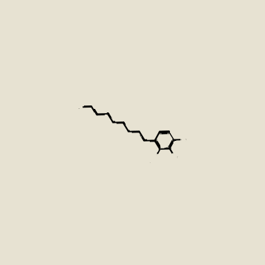 O=C(O)c1c(CCCCCCCCBr)ccc(O)c1O